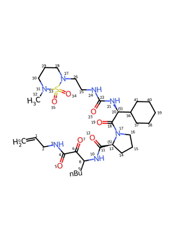 C=CCNC(=O)C(=O)C(CCCC)NC(=O)[C@@H]1CCCN1C(=O)[C@@H](NC(=O)NCCN1CCCN(C)S1(=O)=O)C1CCCCC1